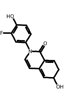 O=c1c2c(ccn1-c1ccc(O)c(F)c1)=CC(O)CC=2